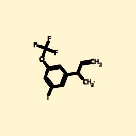 [CH2]C(C=C)c1cc(I)cc(OC(F)(F)F)c1